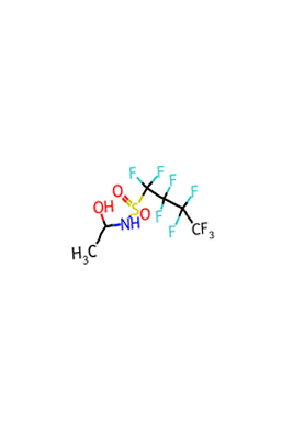 CC(O)NS(=O)(=O)C(F)(F)C(F)(F)C(F)(F)C(F)(F)F